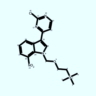 C[Si](C)(C)CCOCn1cc(-c2ccnc(Cl)n2)c2cccc([N+](=O)[O-])c21